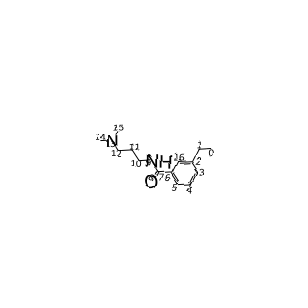 CCc1cccc(C(=O)NCCCN(C)C)c1